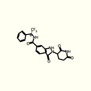 O=C1CCC(n2[nH]c3cc(C(=O)N[C@H](c4ccccc4)C(F)(F)F)ccc3c2=O)C(=O)N1